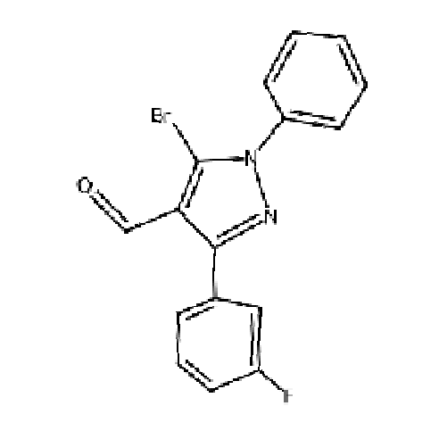 O=Cc1c(-c2cccc(F)c2)nn(-c2ccccc2)c1Br